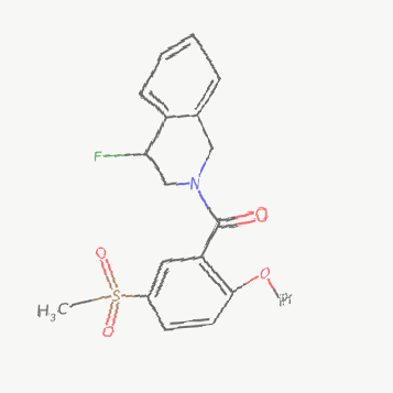 CC(C)Oc1ccc(S(C)(=O)=O)cc1C(=O)N1Cc2ccccc2C(F)C1